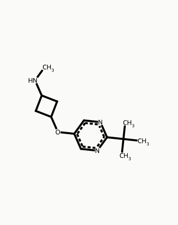 CNC1CC(Oc2cnc(C(C)(C)C)nc2)C1